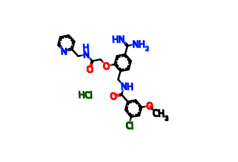 COc1cc(Cl)cc(C(=O)NCc2ccc(C(=N)N)cc2OCC(=O)NCc2ccccn2)c1.Cl